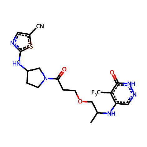 CC(COCCC(=O)N1CCC(Nc2ncc(C#N)s2)C1)Nc1cn[nH]c(=O)c1C(F)(F)F